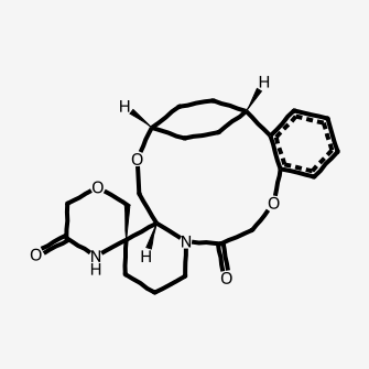 O=C1COC[C@@]2(CCCN3C(=O)COc4ccccc4[C@H]4CC[C@H](CC4)OC[C@H]32)N1